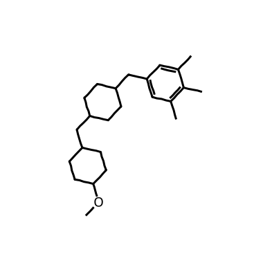 COC1CCC(CC2CCC(Cc3cc(C)c(C)c(C)c3)CC2)CC1